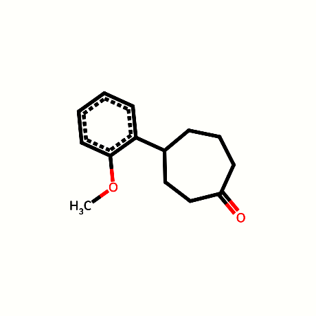 COc1ccccc1C1CCCC(=O)CC1